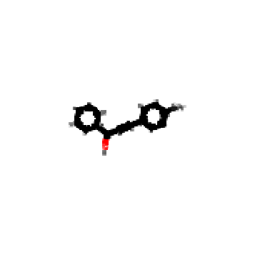 CC(C)c1ccc(C#CC(=O)c2ccccc2)cc1